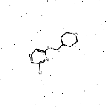 Clc1cncc(OCC2CCOCC2)n1